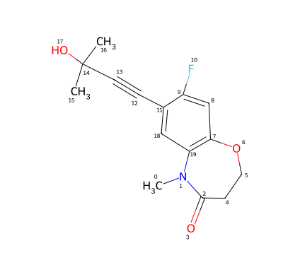 CN1C(=O)CCOc2cc(F)c(C#CC(C)(C)O)cc21